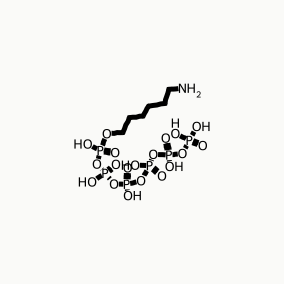 NCCCCCCOP(=O)(O)OP(=O)(O)OP(=O)(O)OP(=O)(O)OP(=O)(O)OP(=O)(O)O